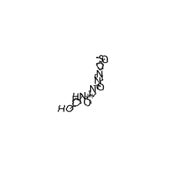 C=S(C)(=O)c1ccc(N2CCN(C(=O)CN3CC[C@@H](C(=O)Nc4ccc(O)cc4)C3)CC2)cc1